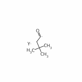 CC(C)(C)C[C]=O.[Y]